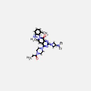 C=CC(=O)N1CCN(c2nc(N3CC(N(CC)CC)C3)nc3c(=O)n(-c4c(C)cccc4N)c(C)cc23)CC1